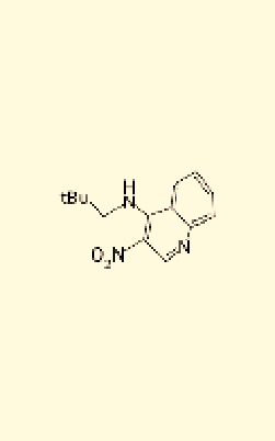 [CH2]C(C)(C)CNc1c([N+](=O)[O-])cnc2ccccc12